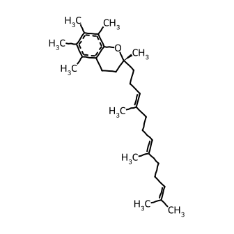 CC(C)=CCC/C(C)=C/CC/C(C)=C/CC[C@]1(C)CCc2c(C)c(C)c(C)c(C)c2O1